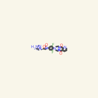 C=NN(/C=C\N)C[C@H]1CN(c2cc(F)c(N3CCn4c(=O)c5cccnc5c(=O)n4CC3)c(F)c2)C(=O)O1